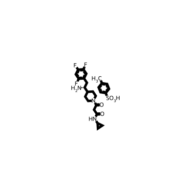 Cc1ccc(S(=O)(=O)O)cc1.N[C@H](Cc1cc(F)c(F)cc1F)C1CCN(C(=O)CC(=O)NC2CC2)CC1